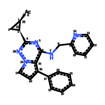 CC(=O)[C@@H]1C[C@H]1c1nc(NCc2ccccn2)c2c(-c3ccccc3)ccn2n1